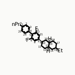 CCCc1ccc(-c2c(F)cc([C@@H]3CC[C@@H]4CC(CC)CC[C@@H]4C3)cc2F)cc1